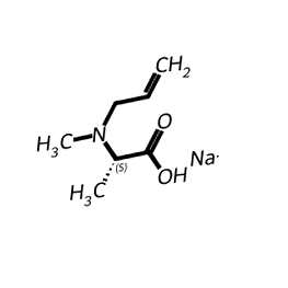 C=CCN(C)[C@@H](C)C(=O)O.[Na]